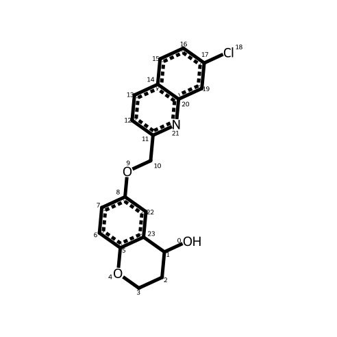 OC1CCOc2ccc(OCc3ccc4ccc(Cl)cc4n3)cc21